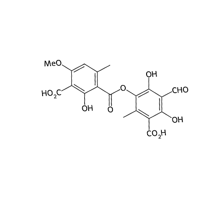 COc1cc(C)c(C(=O)Oc2c(C)c(C(=O)O)c(O)c(C=O)c2O)c(O)c1C(=O)O